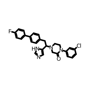 O=C1CN(C(Cc2ccc(-c3ccc(F)cc3)cc2)c2cnc[nH]2)CCN1c1cccc(Cl)c1